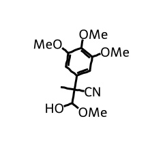 COc1cc(C(C)(C#N)C(O)OC)cc(OC)c1OC